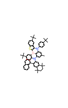 Cc1cc2c3c(c1)N(c1ccc(C(C)(C)C)cc1)c1c(sc4ccc(C(C)(C)C)cc14)B3c1cc(C(C)(C)C)ccc1N2c1cc2c(cc1-c1cccc3ccccc13)C(C)(C)CCC2(C)C